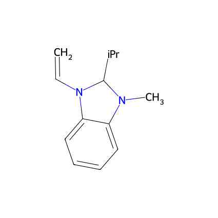 C=CN1c2ccccc2N(C)C1C(C)C